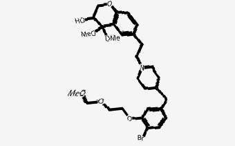 COCOCCOc1cc(CC2CCN(CCc3ccc4c(c3)C(OC)(OC)C(O)CO4)CC2)ccc1Br